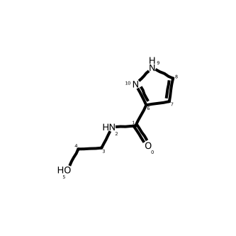 O=C(NCCO)c1cc[nH]n1